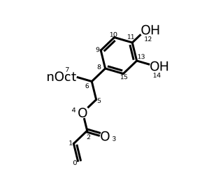 C=CC(=O)OCC(CCCCCCCC)c1ccc(O)c(O)c1